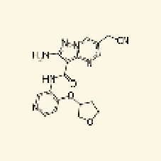 N#CCc1cnc2c(C(=O)Nc3cnccc3OC3CCOC3)c(N)nn2c1